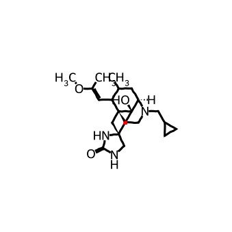 CO/C(C)=C/C1C(C)C[C@H]2N(CC3CC3)CC[C@@]13C[C@@]1(CC[C@@]23O)CNC(=O)N1